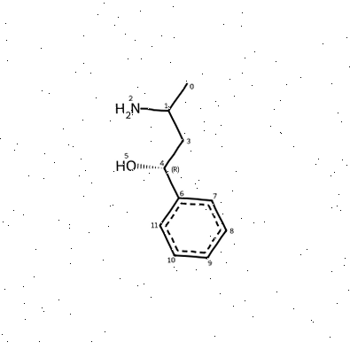 CC(N)C[C@@H](O)c1ccccc1